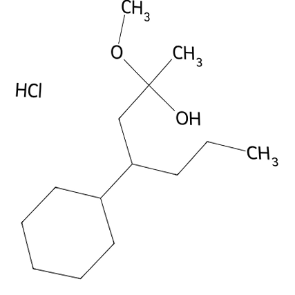 CCCC(CC(C)(O)OC)C1CCCCC1.Cl